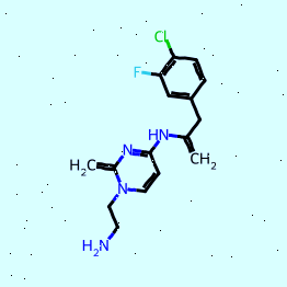 C=C(Cc1ccc(Cl)c(F)c1)NC1=NC(=C)N(CCN)C=C1